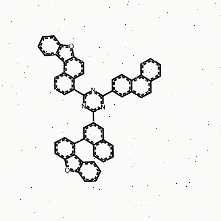 c1ccc2c(-c3cccc4oc5ccccc5c34)cc(-c3nc(-c4ccc5c(ccc6ccccc65)c4)nc(-c4cccc5c4ccc4oc6ccccc6c45)n3)cc2c1